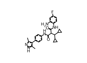 Cc1n[nH]c(C)c1-c1ccc(NC(=O)C(C(=O)Nc2ccc(F)cc2N)C(C2CC2)C2CC2)cc1